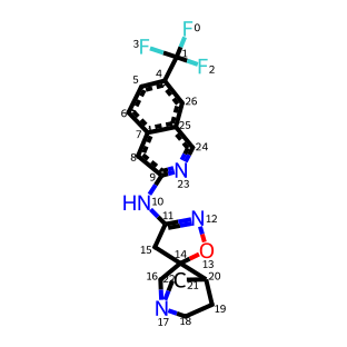 FC(F)(F)c1ccc2cc(NC3=NOC4(C3)CN3CCC4CC3)ncc2c1